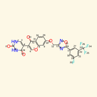 O=c1[nH]cc(-c2coc3cc(OCc4noc(-c5cc(F)cc(C(F)(F)F)c5)n4)ccc3c2=O)c(=O)[nH]1